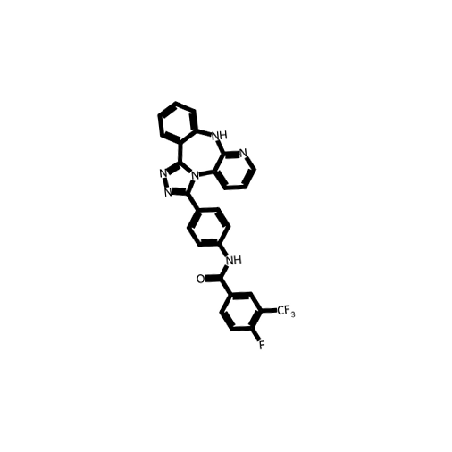 O=C(Nc1ccc(-c2nnc3n2-c2cccnc2Nc2ccccc2-3)cc1)c1ccc(F)c(C(F)(F)F)c1